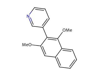 COc1cc2ccccc2c(OC)c1-c1cccnc1